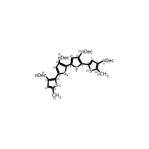 CCCCCCCCCCc1cc(-c2sc(-c3sc(-c4sc(C)cc4CCCCCCCCCC)cc3CCCCCCCCCC)cc2CCCCCCCCCC)sc1C